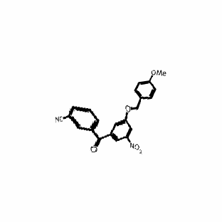 COc1ccc(COc2cc(C(=O)c3cccc(C#N)c3)cc([N+](=O)[O-])c2)cc1